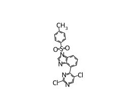 Cc1ccc(S(=O)(=O)n2cnc3c(-c4nc(Cl)ncc4Cl)cccc32)cc1